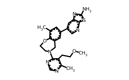 COCCc1c(C)ncnc1N1CCOc2c(C)cc(-c3cnc4sc(N)nc4c3)cc2C1